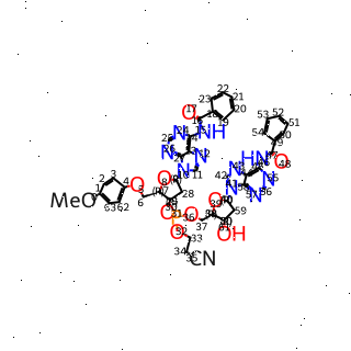 COc1ccc(OC[C@H]2O[C@@H](n3cnc4c(NC(=O)c5ccccc5)ncnc43)C[C@H]2OP(OCCC#N)OC[C@H]2O[C@@H](n3cnc4c(NC(=O)c5ccccc5)ncnc43)C[C@H]2O)cc1